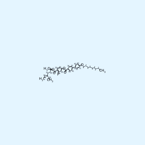 CCCCCCCCCOc1ccc(-c2ccc(C(=O)Oc3ccc(C(=O)O[C@H](C)CCC(CC)CC)c(F)c3)cc2)cc1